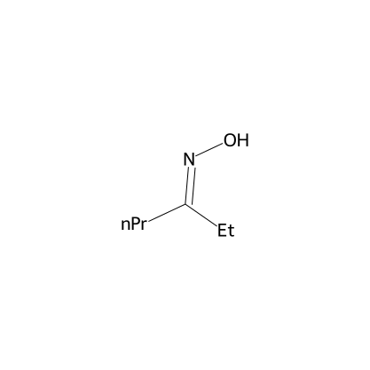 CCCC(CC)=NO